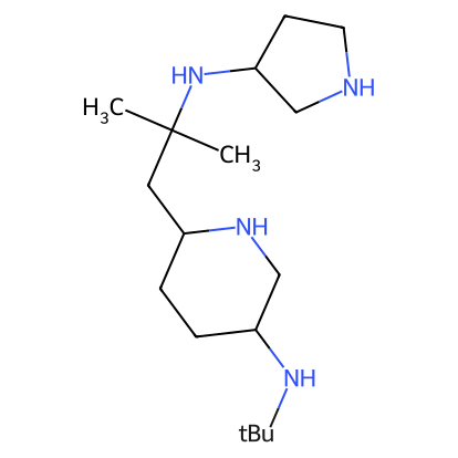 CC(C)(C)NC1CCC(CC(C)(C)NC2CCNC2)NC1